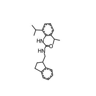 CC(C)c1cccc(C(C)C)c1NC(=O)NCC1CCc2ccccc21